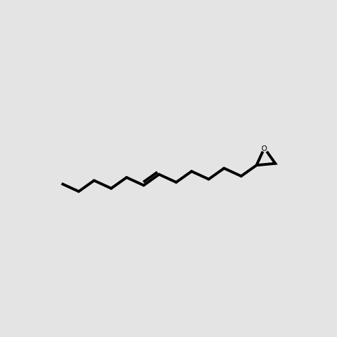 CCCCC/C=C/CCCCCC1CO1